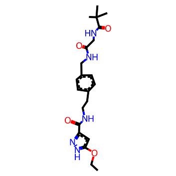 CCOc1cc(C(=O)NCCc2ccc(CNC(=O)CNC(=O)C(C)(C)C)cc2)n[nH]1